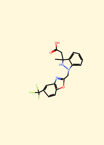 CC1(CC(=O)O)NN(Cc2nc3cc(C(F)(F)F)ccc3o2)c2ccccc21